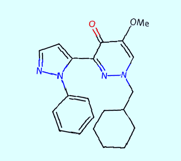 COc1cn(CC2CCCCC2)nc(-c2ccnn2-c2ccccc2)c1=O